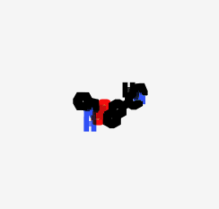 O=S(=O)(c1cc2ccccc2[nH]1)c1cccc2cc(C3=C[C@H]4CCCN4CC3)ccc12